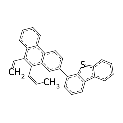 C=Cc1c(/C=C\C)c2cc(-c3cccc4c3sc3ccccc34)ccc2c2ccccc12